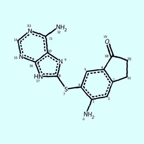 Nc1cc2c(cc1Sc1nc3c(N)ncnc3[nH]1)C(=O)CC2